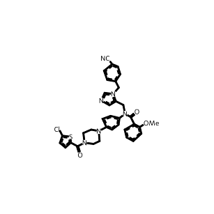 COc1ccccc1C(=O)N(Cc1cncn1Cc1ccc(C#N)cc1)c1ccc(N2CCN(C(=O)c3ccc(Cl)s3)CC2)cc1